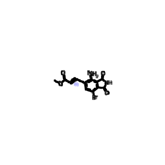 COC(=O)/C=C/c1cc(Br)c2c(c1N)C(=O)NC2=O